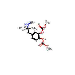 CCCCOC(=O)Oc1ccc(C[C@](NC(C)C)(OC(C)=O)C(=O)O)cc1OC(=O)OCCCC